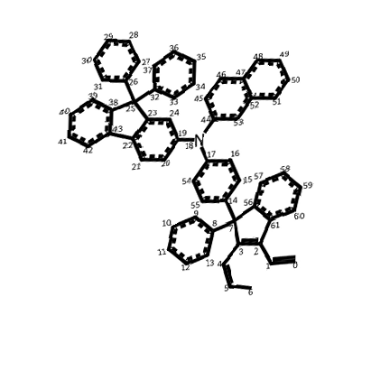 C=CC1=C(/C=C\C)C(c2ccccc2)(c2ccc(N(c3ccc4c(c3)C(c3ccccc3)(c3ccccc3)c3ccccc3-4)c3ccc4ccccc4c3)cc2)c2ccccc21